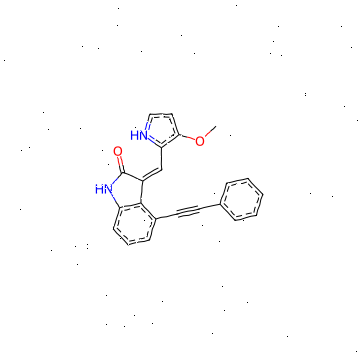 COc1cc[nH]c1/C=C1\C(=O)Nc2cccc(C#Cc3ccccc3)c21